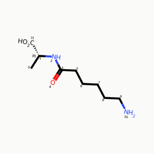 C[C@@H](NC(=O)CCCCCN)C(=O)O